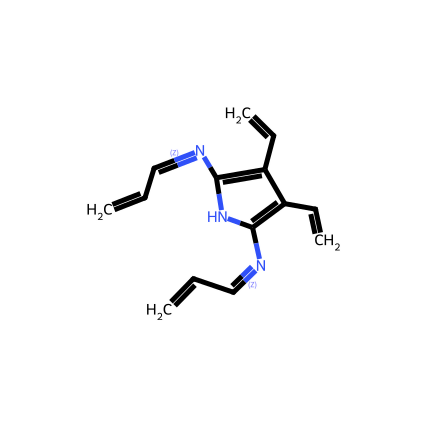 C=C/C=N\c1[nH]c(/N=C\C=C)c(C=C)c1C=C